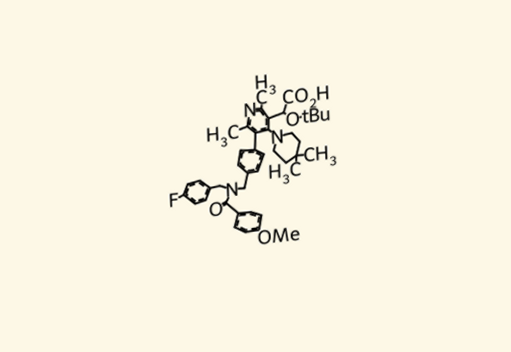 COc1ccc(C(=O)N(Cc2ccc(F)cc2)Cc2ccc(-c3c(C)nc(C)c(C(OC(C)(C)C)C(=O)O)c3N3CCC(C)(C)CC3)cc2)cc1